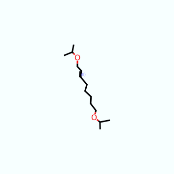 CC(C)OC/C=C/CCCCCOC(C)C